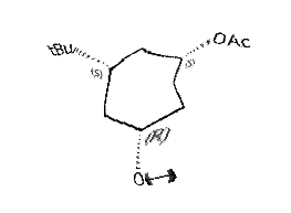 CC(=O)O[C@@H]1C[C@H](O)C[C@H](C(C)(C)C)C1